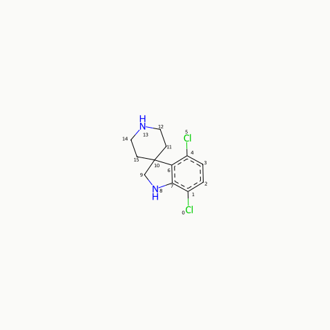 Clc1ccc(Cl)c2c1NCC21CCNCC1